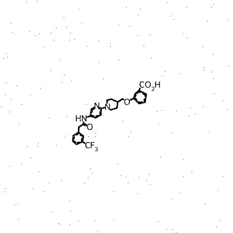 O=C(Cc1cccc(C(F)(F)F)c1)Nc1ccc(N2CCC(COc3cccc(C(=O)O)c3)CC2)nc1